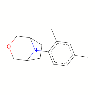 Cc1ccc(N2C3CCC2COC3)c(C)c1